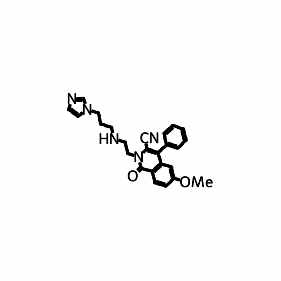 COc1ccc2c(=O)n(CCNCCCn3ccnc3)c(C#N)c(-c3ccccc3)c2c1